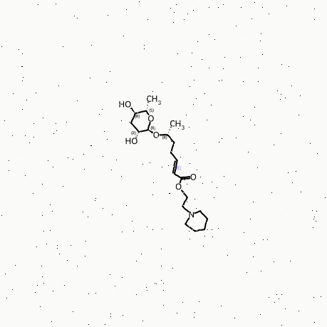 C[C@H](CC/C=C/C(=O)OCCN1CCCCC1)O[C@@H]1O[C@@H](C)[C@H](O)C[C@H]1O